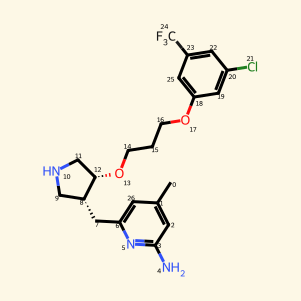 Cc1cc(N)nc(C[C@@H]2CNC[C@@H]2OCCCOc2cc(Cl)cc(C(F)(F)F)c2)c1